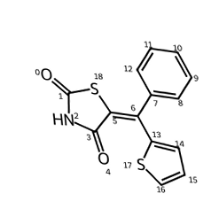 O=C1NC(=O)C(=C(c2ccccc2)c2cccs2)S1